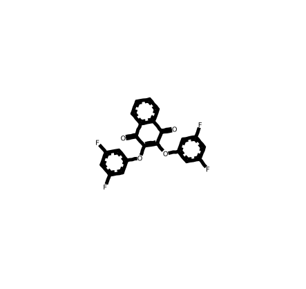 O=C1C(Oc2cc(F)cc(F)c2)=C(Oc2cc(F)cc(F)c2)C(=O)c2ccccc21